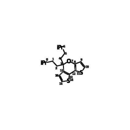 CC(C)CCC1(CCC(C)C)Oc2ccsc2-c2sccc21